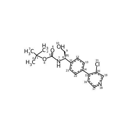 CC(C)(C)OC(=O)N[C@@H](CO)c1ccc(-c2ccncc2Cl)cc1